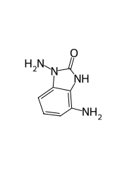 Nc1cccc2c1[nH]c(=O)n2N